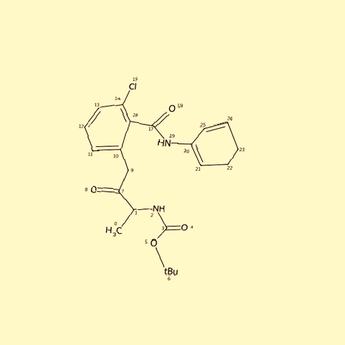 CC(NC(=O)OC(C)(C)C)C(=O)Cc1cccc(Cl)c1C(=O)NC1=CCCC=C1